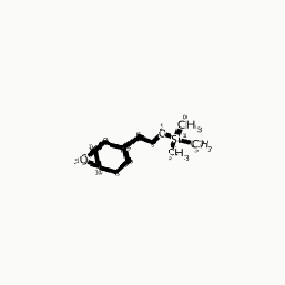 C[Si](C)(C)OCCC1CCC2OC2C1